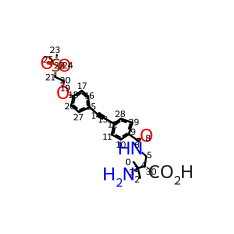 CC(C)(N)[C@H](CNC(=O)c1ccc(C#Cc2ccc(OCCS(C)(=O)=O)cc2)cc1)C(=O)O